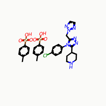 Cc1ccc(S(=O)(=O)O)cc1.Cc1ccc(S(=O)(=O)O)cc1.Clc1ccc(-n2c(Cn3nccn3)nnc2C2CCNCC2)cc1